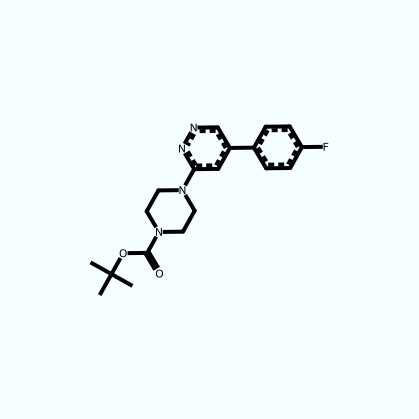 CC(C)(C)OC(=O)N1CCN(c2cc(-c3ccc(F)cc3)cnn2)CC1